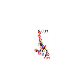 O=C(O)COCCOCCOCCOc1c(F)cc(N2C(=O)C(Sc3ccc(C(=O)NCCO)cc3)=C(Sc3ccc(C(=O)N4CCOCC4)cc3)C2=O)cc1F